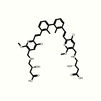 COc1nc(/C=C/c2cccc(-c3cccc(/C=C/c4nc(OC)c(CNC[C@@H](O)CC(=O)O)cc4Cl)c3C)c2C)c(Cl)cc1CNC[C@@H](O)CC(=O)O